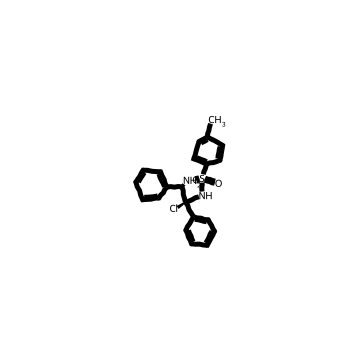 Cc1ccc(S(=O)(=O)N[C@](Cl)(c2ccccc2)[C@H](N)c2ccccc2)cc1